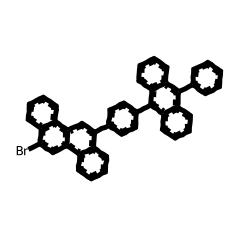 Brc1cc2c3ccccc3c(-c3ccc(-c4c5ccccc5c(-c5ccccc5)c5ccccc45)cc3)cc2c2ccccc12